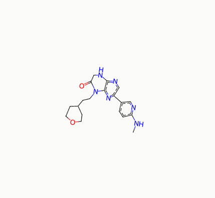 CNc1ccc(-c2cnc3c(n2)N(CCC2CCOCC2)C(=O)CN3)cn1